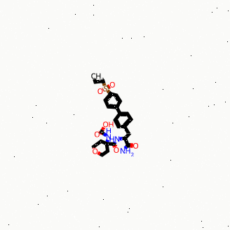 CCCS(=O)(=O)c1ccc(-c2ccc(CC(NC(=O)C3(NC(=O)O)CCOCC3)C(N)=O)cc2)cc1